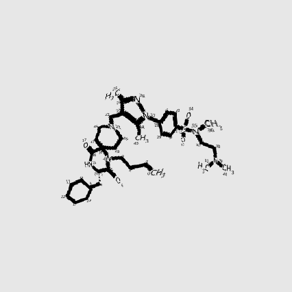 CCCCN1C(=O)[C@H](CC2CCCCC2)NC(=O)C12CCN(Cc1c(C)nn(-c3ccc(S(=O)(=O)N(C)CCN(C)C)cc3)c1C)CC2